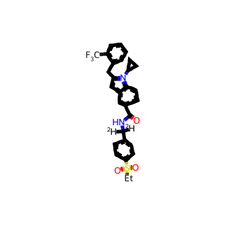 [2H]C([2H])(NC(=O)c1ccc2c(c1)cc(Cc1ccccc1C(F)(F)F)n2C1CC1)c1ccc(S(=O)(=O)CC)cc1